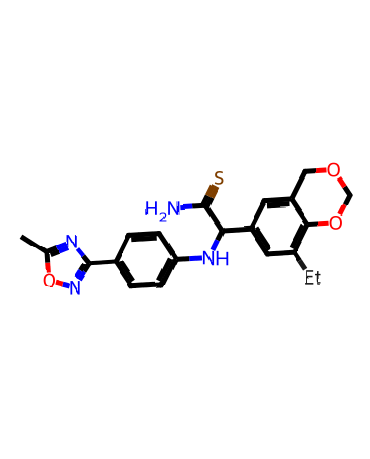 CCc1cc(C(Nc2ccc(-c3noc(C)n3)cc2)C(N)=S)cc2c1OCOC2